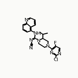 CC(C)C1CN(c2nc(Cl)ncc2F)CCN1/C(=N\C#N)Nc1cccc2ncccc12